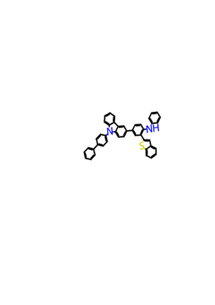 c1ccc(Nc2ccc(-c3ccc4c(c3)c3ccccc3n4-c3ccc(-c4ccccc4)cc3)cc2-c2cc3ccccc3s2)cc1